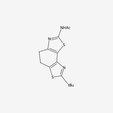 CC(=O)Nc1nc2c(s1)-c1nc(C(C)(C)C)sc1CC2